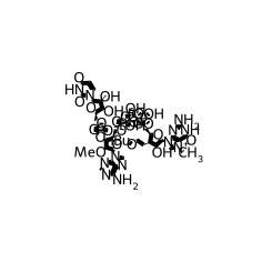 CCCCOCC[C@H]1[C@@H](O)[C@H](n2c[n+](C)c3c(=O)[nH]c(N)nc32)O[C@@H]1COP(=O)(O)OP(=O)(O)OP(=O)(O)OC[C@H]1O[C@@H](n2cnc3c(N)ncnc32)[C@H](OC)[C@@H]1OP(=O)([O-])OC[C@H]1O[C@@H](n2ccc(=O)[nH]c2=O)[C@H](O)[C@@H]1O